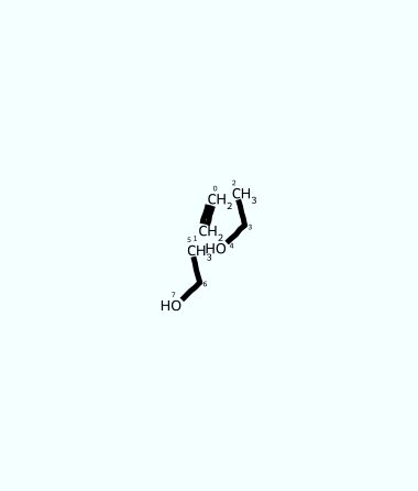 C=C.CCO.CCO